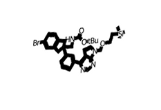 CC(C)(C)OC(=O)NCC1(c2cccc(-c3ncnc4c3ccn4COCC[Si](C)(C)C)c2)Cc2ccc(Br)cc2C1